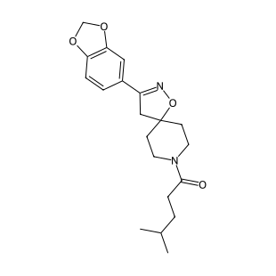 CC(C)CCC(=O)N1CCC2(CC1)CC(c1ccc3c(c1)OCO3)=NO2